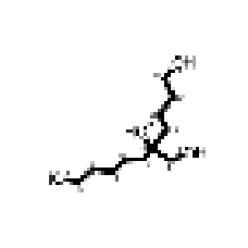 OCCCCCC(O)(CO)CCCCO